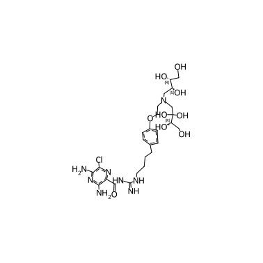 N=C(NCCCCc1ccc(OCCN(C[C@H](O)[C@H](O)CO)CC(O)(O)[C@H](O)CO)cc1)NC(=O)c1nc(Cl)c(N)nc1N